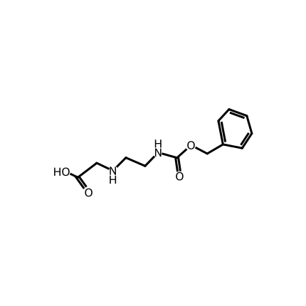 O=C(O)CNCCNC(=O)OCc1ccccc1